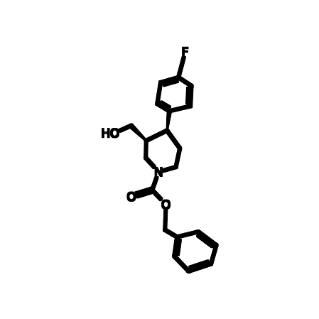 O=C(OCc1ccccc1)N1CC[C@H](c2ccc(F)cc2)[C@H](CO)C1